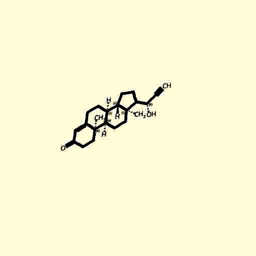 C#C[C@H](O)C1CC[C@H]2[C@@H]3CCC4=CC(=O)CC[C@]4(C)[C@@H]3CC[C@]12C